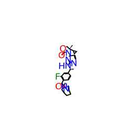 CC(=O)N1C2CCC1CN(Cc1ccc([C@H](C)Nc3nccc(N4C(=O)OC[C@]4(C)C4CC4)n3)cc1F)C2